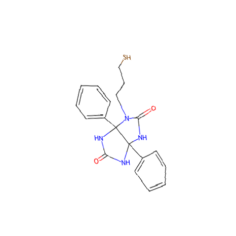 O=C1NC2(c3ccccc3)NC(=O)N(CCCS)C2(c2ccccc2)N1